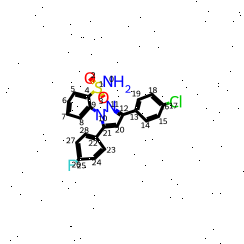 NS(=O)(=O)c1ccccc1-n1nc(-c2ccc(Cl)cc2)cc1-c1ccc(F)cc1